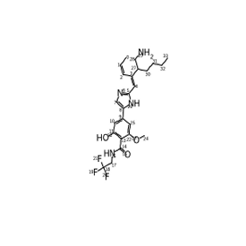 C/C=C\C(=C/c1ncc(-c2cc(O)c(C(=O)NCC(F)(F)F)c(OC)c2)[nH]1)C(CN)CCCC